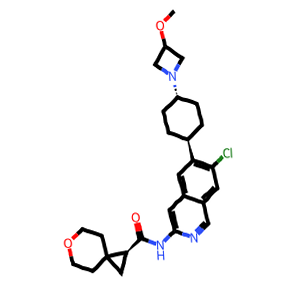 COC1CN([C@H]2CC[C@H](c3cc4cc(NC(=O)[C@H]5CC56CCOCC6)ncc4cc3Cl)CC2)C1